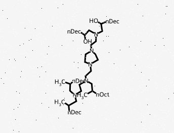 CCCCCCCCCCC(C)CN(CCN(CCN1CCN(CCN(CC(O)CCCCCCCCCC)CC(O)CCCCCCCCCC)CC1)CC(C)CCCCCCCC)CC(C)CCCCCCCCCC